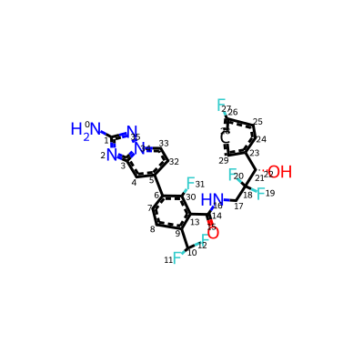 Nc1nc2cc(-c3ccc(C(F)F)c(C(=O)NCC(F)(F)[C@@H](O)c4ccc(F)cc4)c3F)ccn2n1